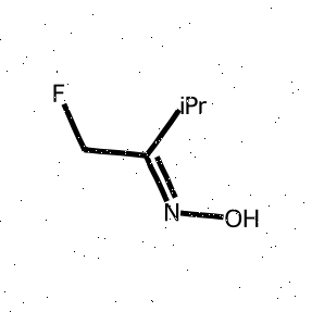 CC(C)/C(CF)=N\O